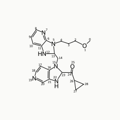 COCCCN1c2ncccc2NC1CN1c2ccncc2NC1C(=O)C1CC1